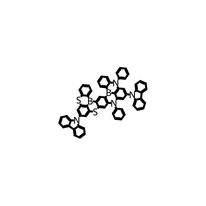 c1ccc(N2c3ccccc3B3c4cc5c(cc4N(c4ccccc4)c4cc(-n6c7ccccc7c7ccccc76)cc2c43)Sc2cc(-n3c4ccccc4c4ccccc43)cc3c2B5c2ccccc2S3)cc1